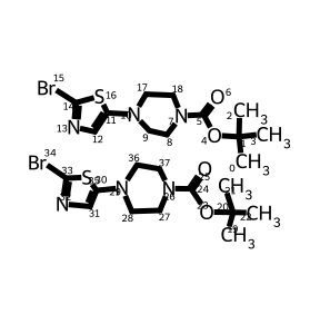 CC(C)(C)OC(=O)N1CCN(c2cnc(Br)s2)CC1.CC(C)(C)OC(=O)N1CCN(c2cnc(Br)s2)CC1